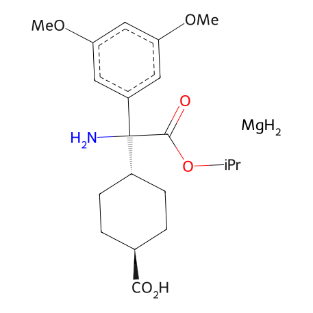 COc1cc(OC)cc(C(N)(C(=O)OC(C)C)[C@H]2CC[C@H](C(=O)O)CC2)c1.[MgH2]